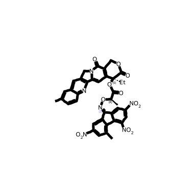 CC[C@@]1(OC(=O)[C@@H](C)O/N=C2/c3cc([N+](=O)[O-])cc(C)c3-c3c2cc([N+](=O)[O-])cc3[N+](=O)[O-])C(=O)OCc2c1cc1n(c2=O)Cc2cc3cc(C)ccc3nc2-1